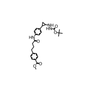 COC(=O)c1ccc(CCCC(=O)Nc2ccc(C3CC3NNC(=O)OC(C)(C)C)cc2)cc1